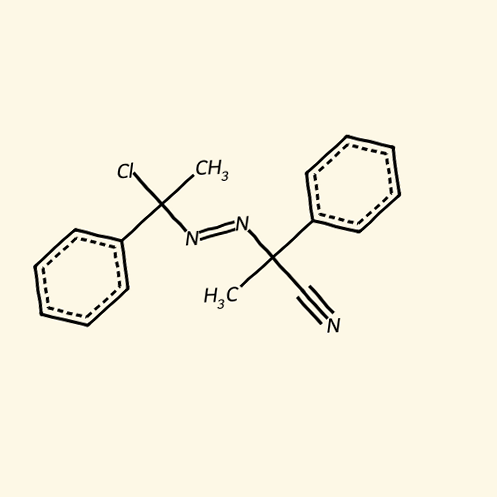 CC(Cl)(N=NC(C)(C#N)c1ccccc1)c1ccccc1